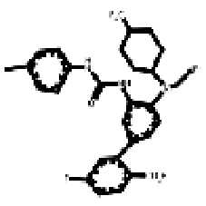 Cc1ccc(NC(=O)Nc2cc(-c3cc(F)ccc3C(=O)O)ccc2N(CC(C)C)C2CCC(C(F)(F)F)CC2)cc1